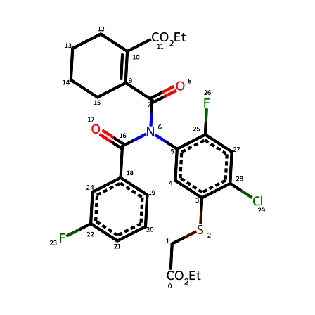 CCOC(=O)CSc1cc(N(C(=O)C2=C(C(=O)OCC)CCCC2)C(=O)c2cccc(F)c2)c(F)cc1Cl